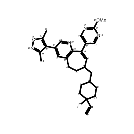 C=CC1(F)CCC(CC2C=C(c3cnc(OC)nc3)c3ncc(-c4c(C)noc4C)cc3CC2)CC1